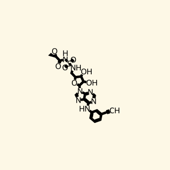 C#Cc1cccc(Nc2ncnc3c2ncn3C2OC(CNS(=O)(=O)NC(=O)C3CO3)C(O)C2O)c1